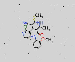 COc1ccccc1NC(=O)C1=C(C)NC(SC)=C(C#N)C1c1cccnc1Cl